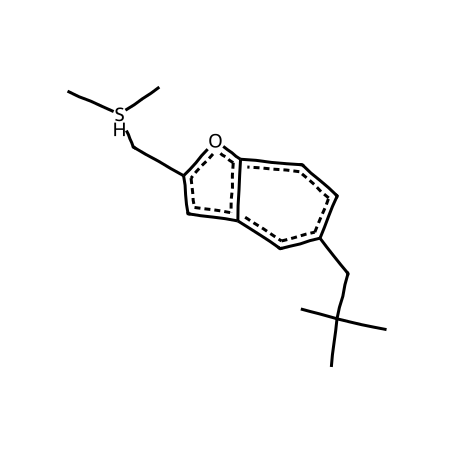 C[SH](C)Cc1cc2cc(CC(C)(C)C)ccc2o1